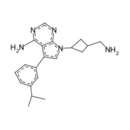 CC(C)c1cccc(-c2cn(C3CC(CN)C3)c3ncnc(N)c23)c1